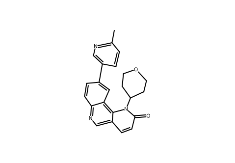 Cc1ccc(-c2ccc3ncc4ccc(=O)n(C5CCOCC5)c4c3c2)cn1